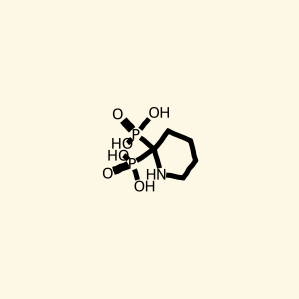 O=P(O)(O)C1(P(=O)(O)O)CCCCN1